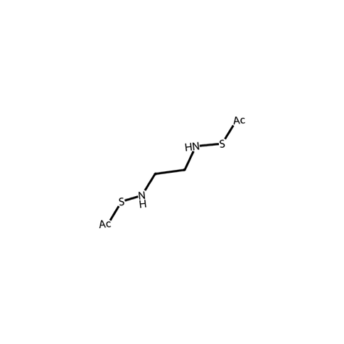 CC(=O)SNCCNSC(C)=O